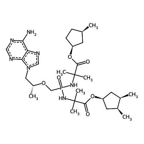 C[C@@H]1CC[C@H](OC(=O)C(C)(C)NP(=O)(CO[C@H](C)Cn2cnc3c(N)ncnc32)NC(C)(C)C(=O)O[C@H]2C[C@@H](C)[C@@H](C)C2)C1